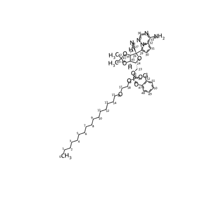 CCCCCCCCCCCCCCCCOCCOP(=O)(OC[C@H]1O[C@@](C#N)(c2ccc3c(N)ncnn23)[C@@H]2OC(C)(C)O[C@@H]21)Oc1ccccc1Cl